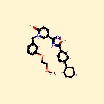 COCCOc1cccc(Cn2cc(-c3noc(-c4ccc(C5CCCCC5)cc4)n3)ccc2=O)c1